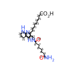 NC(=O)CCCCCCC(=O)NCc1cc2c(nc1CCCCCCCCC(=O)O)NCCC2